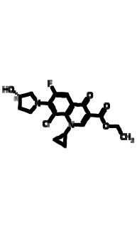 CCOC(=O)c1cn(C2CC2)c2c(Cl)c(N3CC[C@H](O)C3)c(F)cc2c1=O